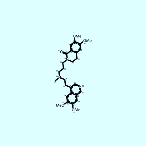 COc1cc2c(cc1OC)C(=O)N(CCCN(C)CCc1cncc3cc(OC)c(OC)cc13)CC2